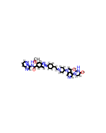 COc1cc2nn(C3CCC(CCN4CCC(n5ccc6c(N7CCC(=O)NC7=O)cncc65)CC4)CC3)cc2cc1C(=O)Nc1cnc2cccnn12